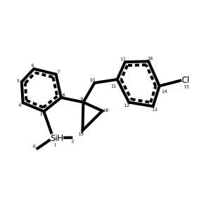 C[SiH](C)c1ccccc1C1(Cc2ccc(Cl)cc2)CC1